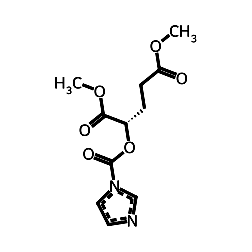 COC(=O)CC[C@H](OC(=O)n1ccnc1)C(=O)OC